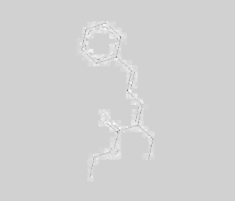 CCOC(=O)C(=CC=Cc1ccccc1)CC